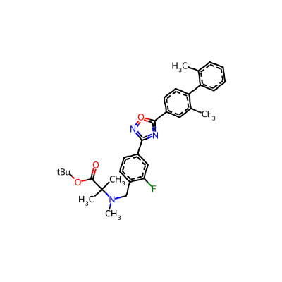 Cc1ccccc1-c1ccc(-c2nc(-c3ccc(CN(C)C(C)(C)C(=O)OC(C)(C)C)c(F)c3)no2)cc1C(F)(F)F